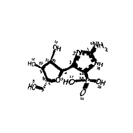 Nc1nc(C2O[C@H](CO)[C@@H](O)[C@H]2O)c(P(=O)(O)O)[nH]1